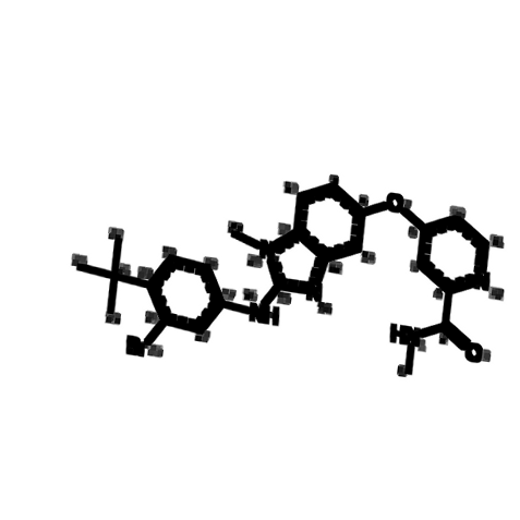 CNC(=O)c1cc(Oc2ccc3c(c2)nc(Nc2ccc(C(C)(C)C)c(Br)c2)n3C)ccn1